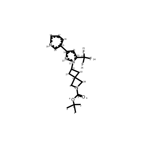 CC(C)(C)OC(=O)N1CC2(CC(n3nc(-c4cccnc4)cc3C(F)(F)F)C2)C1